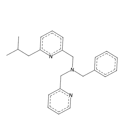 CC(C)Cc1cccc(CN(Cc2ccccc2)Cc2ccccn2)n1